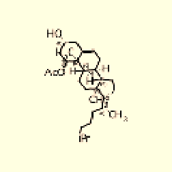 CC(=O)O[C@H]1C[C@H](O)CC2=CC[C@H]3[C@@H]4CC[C@H]([C@H](C)CCCC(C)C)[C@@]4(C)CC[C@@H]3[C@]21C